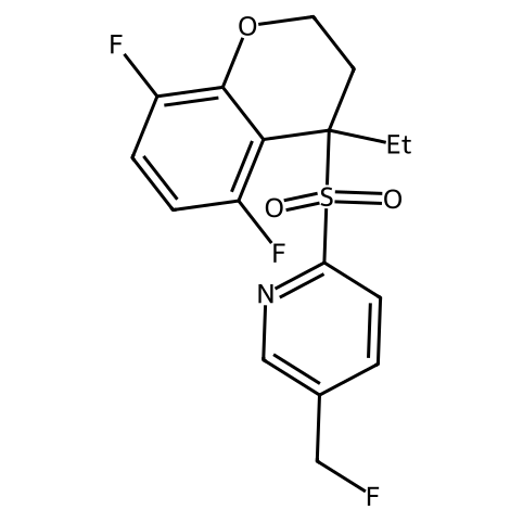 CCC1(S(=O)(=O)c2ccc(CF)cn2)CCOc2c(F)ccc(F)c21